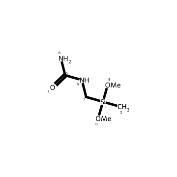 CO[Si](C)(CNC(N)=O)OC